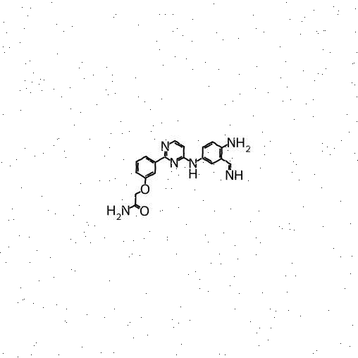 N=Cc1cc(Nc2ccnc(-c3cccc(OCC(N)=O)c3)n2)ccc1N